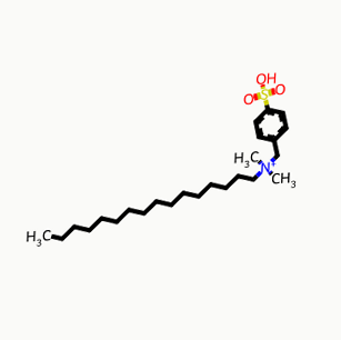 CCCCCCCCCCCCCCCC[N+](C)(C)Cc1ccc(S(=O)(=O)O)cc1